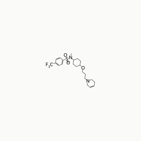 CN(C1CCC(OCCCN2CC=CCC2)CC1)S(=O)(=O)c1ccc(C(F)(F)F)cc1